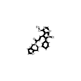 CCOc1ncnc2c1c(/C=C/C(=O)N1CCc3sccc3C1)c(-c1ccccc1)n2CC